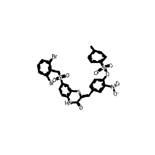 Cc1ccc(S(=O)(=O)Oc2ccc(C=C3Sc4cc(S(=O)(=O)Cc5c(Br)cccc5Br)ccc4NC3=O)cc2[N+](=O)[O-])cc1